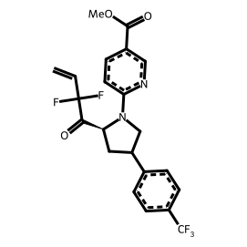 C=CC(F)(F)C(=O)[C@@H]1CC(c2ccc(C(F)(F)F)cc2)CN1c1ccc(C(=O)OC)cn1